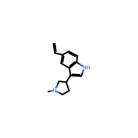 C=Cc1ccc2[nH]cc(C3CCN(C)C3)c2c1